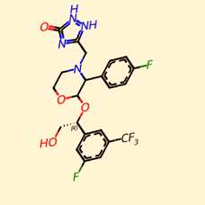 O=c1nc(CN2CCOC(O[C@@H](CO)c3cc(F)cc(C(F)(F)F)c3)C2c2ccc(F)cc2)[nH][nH]1